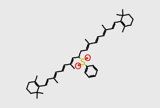 CC1=C(/C=C/C(C)=C/C=C/C(C)=C/CC(/C=C(C)/C=C/C=C(C)/C=C/C2=C(C)CCCC2(C)C)S(=O)(=O)c2ccccc2)C(C)(C)CCC1